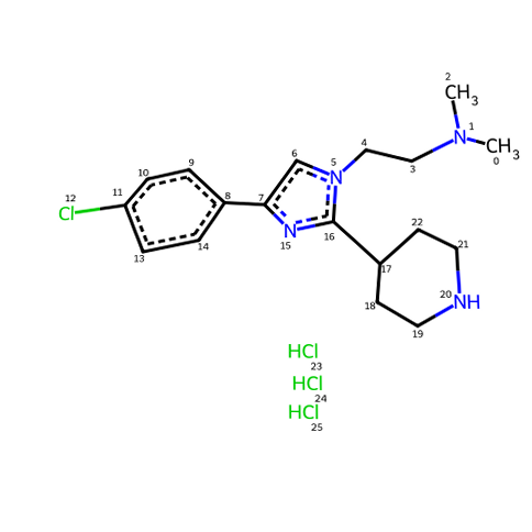 CN(C)CCn1cc(-c2ccc(Cl)cc2)nc1C1CCNCC1.Cl.Cl.Cl